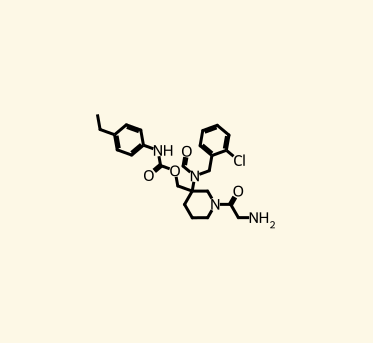 CCc1ccc(NC(=O)OCC2(N(C=O)Cc3ccccc3Cl)CCCN(C(=O)CN)C2)cc1